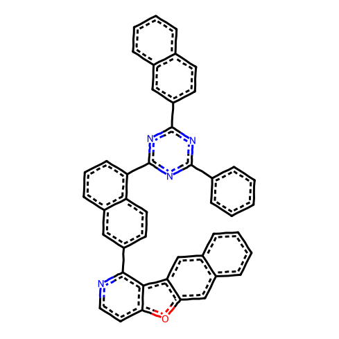 c1ccc(-c2nc(-c3ccc4ccccc4c3)nc(-c3cccc4cc(-c5nccc6oc7cc8ccccc8cc7c56)ccc34)n2)cc1